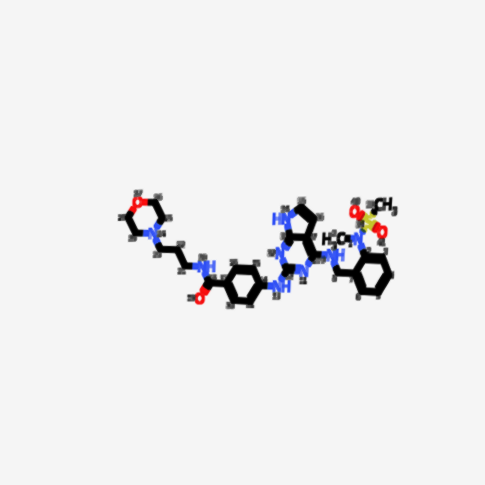 CN(c1ccccc1CNc1nc(Nc2ccc(C(=O)NCCCN3CCOCC3)cc2)nc2[nH]ccc12)S(C)(=O)=O